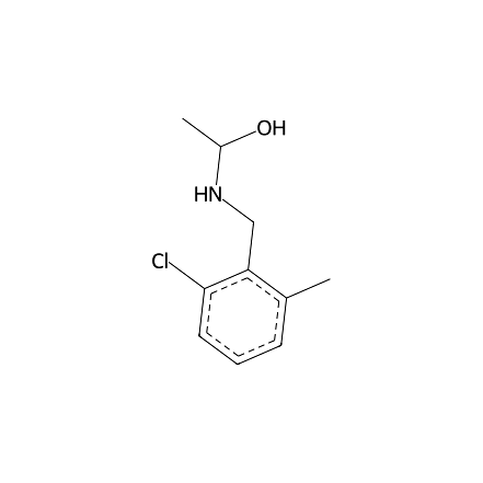 Cc1cccc(Cl)c1CNC(C)O